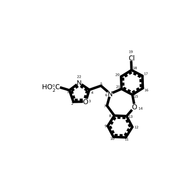 O=C(O)c1coc(CN2Cc3ccccc3Oc3ccc(Cl)cc32)n1